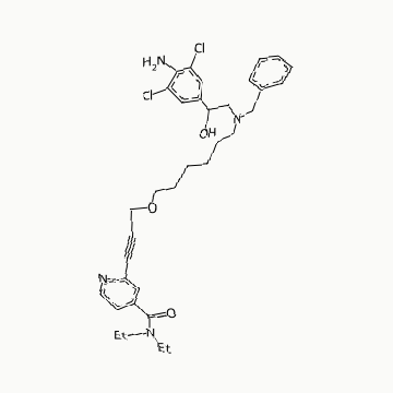 CCN(CC)C(=O)c1ccnc(C#CCOCCCCCCN(Cc2ccccc2)CC(O)c2cc(Cl)c(N)c(Cl)c2)c1